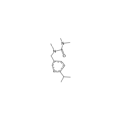 CC(C)c1ccc(CN(C)C(=O)N(C)C)cc1